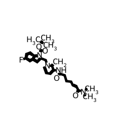 C=C1C(NC(=O)CCC/C=C/C(=O)N(C)C)=CC=CN1Cc1cc2cc(F)ccc2n1C(=O)OC(C)(C)C